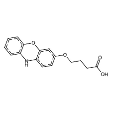 O=C(O)CCCOc1ccc2c(c1)Oc1ccccc1N2